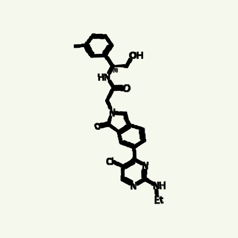 CCNc1ncc(Cl)c(-c2ccc3c(c2)C(=O)N(CC(=O)N[C@H](CO)c2cccc(C)c2)C3)n1